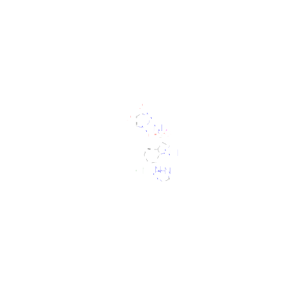 COc1nc(NS(=O)(=O)c2c[nH]c3c(-n4nccn4)c(Cl)ccc23)ncc1OCCF